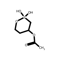 CC(=O)OC1CCOS(O)(O)C1